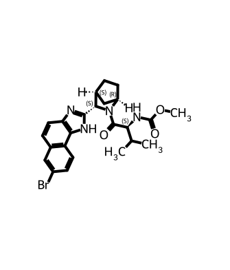 COC(=O)N[C@H](C(=O)N1[C@@H]2CC[C@@H](C2)[C@H]1c1nc2ccc3cc(Br)ccc3c2[nH]1)C(C)C